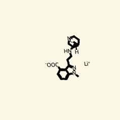 Cn1nc(CCN[C@@H]2CN3CCC2CC3)c2c(C(=O)[O-])cccc21.[Li+]